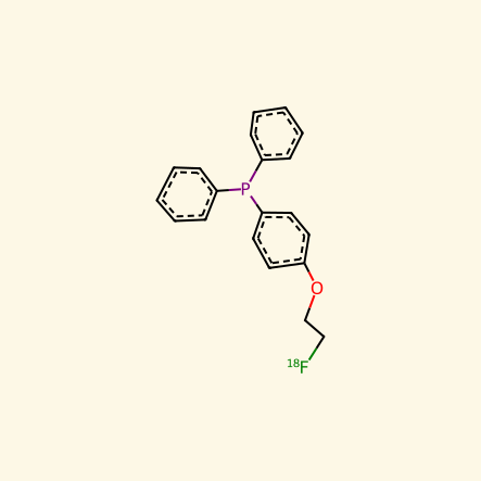 [18F]CCOc1ccc(P(c2ccccc2)c2ccccc2)cc1